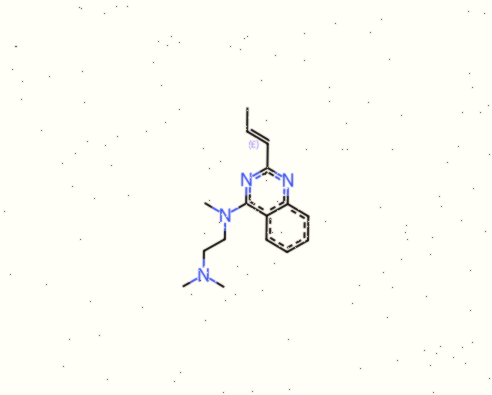 C/C=C/c1nc(N(C)CCN(C)C)c2ccccc2n1